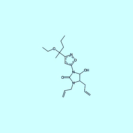 C=CCC1C(O)N(c2cc(C(C)(CCC)OCC)no2)C(=O)N1CC=C